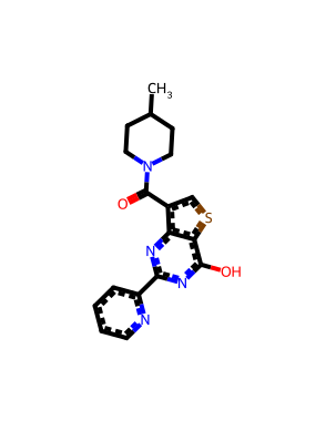 CC1CCN(C(=O)c2csc3c(O)nc(-c4ccccn4)nc23)CC1